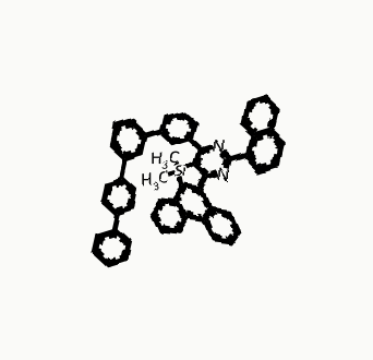 C[Si]1(C)c2c(-c3cccc(-c4cccc(-c5ccc(-c6ccccc6)cc5)c4)c3)nc(-c3cccc4ccccc34)nc2-c2c1c1ccccc1c1ccccc21